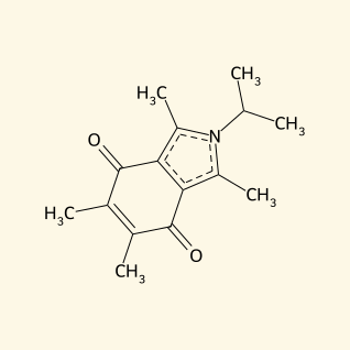 CC1=C(C)C(=O)c2c(c(C)n(C(C)C)c2C)C1=O